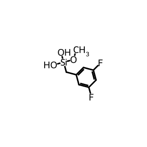 CO[Si](O)(O)Cc1cc(F)cc(F)c1